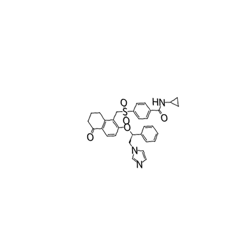 O=C(NC1CC1)c1ccc(S(=O)(=O)Cc2c(O[C@H](Cn3ccnc3)c3ccccc3)ccc3c2CCCC3=O)cc1